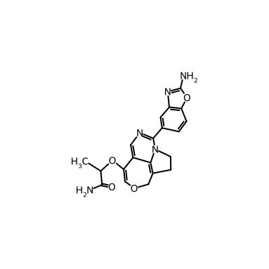 CC(OC1=COCC2=C3C1=CN=C(c1ccc4oc(N)nc4c1)N3CC2)C(N)=O